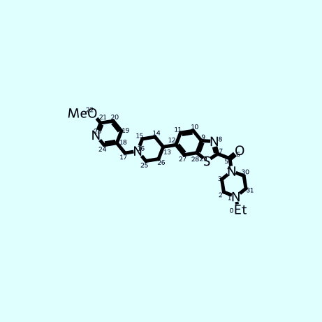 CCN1CCN(C(=O)c2nc3ccc(C4CCN(Cc5ccc(OC)nc5)CC4)cc3s2)CC1